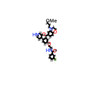 COCCCN1CCOc2ccc(CO[C@H]3CNCC[C@@H]3c3ccc(OCCNC(=O)c4cccc(F)c4)cc3)cc21